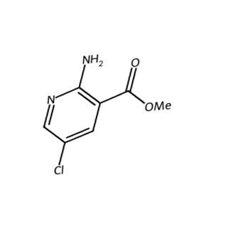 COC(=O)c1cc(Cl)cnc1N